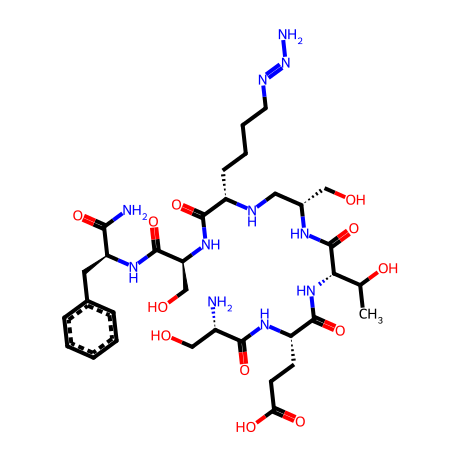 CC(O)[C@H](NC(=O)[C@H](CCC(=O)O)NC(=O)[C@@H](N)CO)C(=O)N[C@@H](CO)CN[C@@H](CCCCN=NN)C(=O)N[C@@H](CO)C(=O)N[C@@H](Cc1ccccc1)C(N)=O